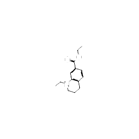 CCOC(=O)c1ccc2c(c1)N(CC)CCC2